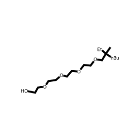 CCCCC(C)(CC)COCCOCCOCCOCCO